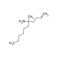 C=CCCC(C)(N)CCCCCC